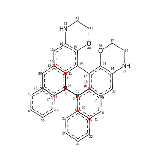 c1ccc(P(c2ccccc2)c2ccc3c(c2-c2c(P(c4ccccc4)c4ccccc4)ccc4c2OCCN4)OCCN3)cc1